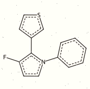 Fc1ccn(-c2ccccc2)c1-c1ccsc1